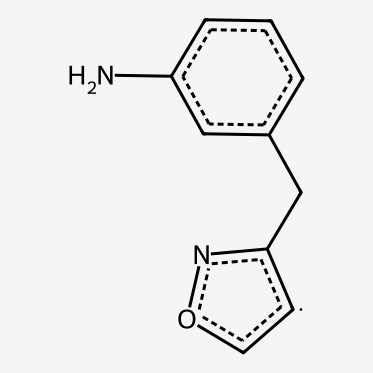 Nc1cccc(Cc2[c]con2)c1